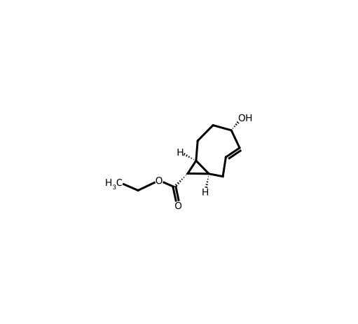 CCOC(=O)[C@H]1[C@@H]2C/C=C/[C@@H](O)CC[C@@H]21